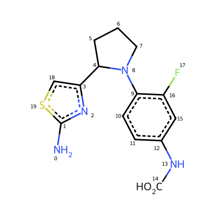 Nc1nc(C2CCCN2c2ccc(NC(=O)O)cc2F)cs1